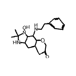 CC1(C)NC2CC3CC(=O)COC3C(NCCc3ccccc3)C2N1O